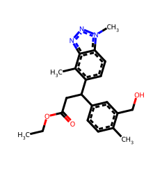 CCOC(=O)CC(c1ccc(C)c(CO)c1)c1ccc2c(nnn2C)c1C